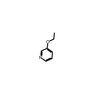 CCOc1c[c]cnc1